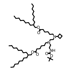 CCCCCCCCC(CCCCCCCC)COC(=O)CCCCCN(CCNC(=O)OC(C)(C)C)CCN(CCCCCC(=O)OCC(CCCCCCCC)CCCCCCCC)C1CCC1